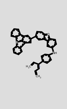 C=C/C=C(\C=C)c1ccc(Nc2ccc3oc4ccc(-c5cc6c7ccccc7n7c8ccccc8c(c5)c67)cc4c3c2)cc1